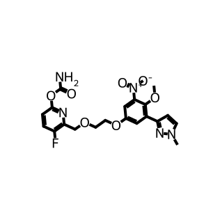 COc1c(-c2ccn(C)n2)cc(OCCOCc2nc(OC(N)=O)ccc2F)cc1[N+](=O)[O-]